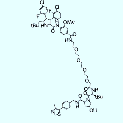 COc1cc(C(=O)NCCOCCOCCOCCOCC(=O)N[C@H](C(=O)N2C[C@H](O)C[C@H]2C(=O)NCc2ccc(-c3scnc3C)cc2)C(C)(C)C)ccc1NC(=O)C1NC(CC(C)(C)C)C(c2ccc(Cl)cc2F)C1c1cccc(Cl)c1F